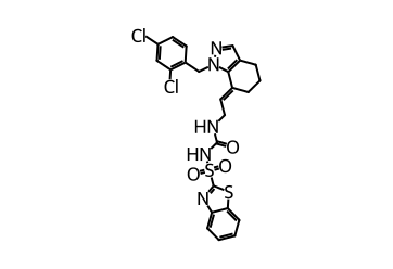 O=C(NCC=C1CCCc2cnn(Cc3ccc(Cl)cc3Cl)c21)NS(=O)(=O)c1nc2ccccc2s1